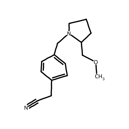 COCC1CCCN1Cc1ccc(CC#N)cc1